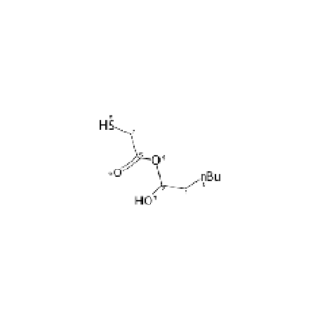 CCCCCC(O)OC(=O)CS